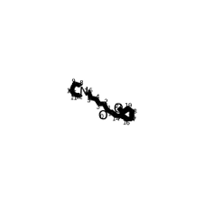 O=C(CCCCCN1CC[CH]CC1)c1cc2ccccc2o1